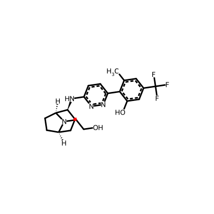 Cc1cc(C(F)(F)F)cc(O)c1-c1ccc(N[C@H]2CC[C@H]3CC[C@@H]2N3CCO)nn1